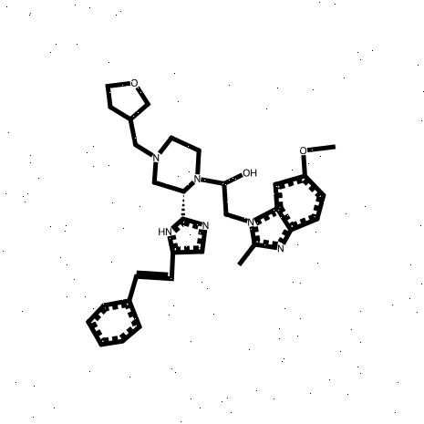 COc1ccc2nc(C)n(CC(O)N3CCN(CC4CCOC4)C[C@H]3c3ncc(/C=C/c4ccccc4)[nH]3)c2c1